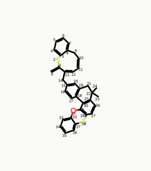 C=C1Sc2ccccc2C/C=C\C=C/1Cc1ccc2c(c1)CC(C)(C)c1ccc3c(c1-2)Oc1ccccc1S3